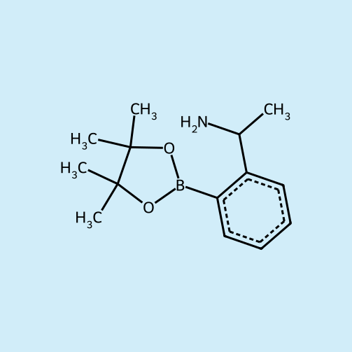 CC(N)c1ccccc1B1OC(C)(C)C(C)(C)O1